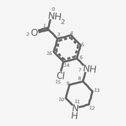 NC(=O)c1ccc(NC2CCNCC2)c(Cl)c1